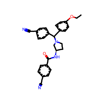 CCOc1ccc(C(c2ccc(C#N)cc2)N2CC[C@@H](NC(=O)c3ccc(C#N)cc3)C2)cc1